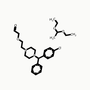 CCOC(C)OCC.O=CCOCCN1CCN(C(c2ccccc2)c2ccc(Cl)cc2)CC1